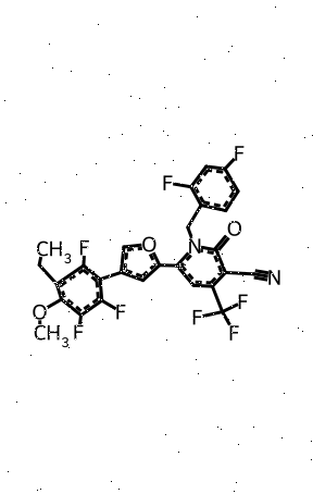 CCc1c(F)c(-c2coc(-c3cc(C(F)(F)F)c(C#N)c(=O)n3Cc3ccc(F)cc3F)c2)c(F)c(F)c1OC